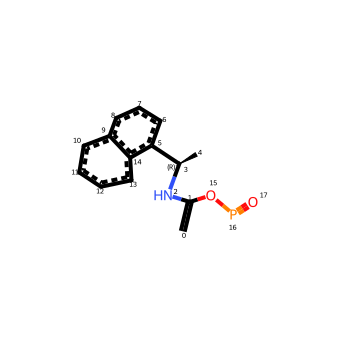 C=C(N[C@H](C)c1cccc2ccccc12)OP=O